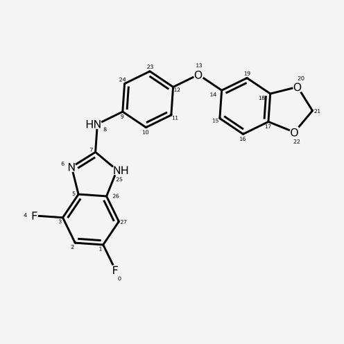 Fc1cc(F)c2nc(Nc3ccc(Oc4ccc5c(c4)OCO5)cc3)[nH]c2c1